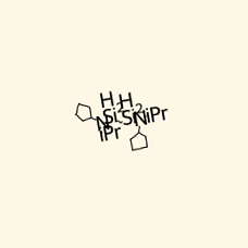 CC(C)N([SiH2]C[SiH2]N(C(C)C)C1CCCC1)C1CCCC1